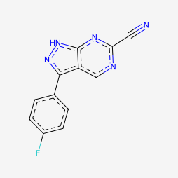 N#Cc1ncc2c(-c3ccc(F)cc3)n[nH]c2n1